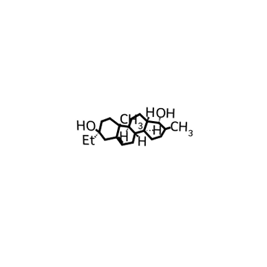 CC[C@]1(O)CC[C@@]2(C)C(=CC[C@H]3[C@@H]4CCC(C)[C@@H](O)[C@H]4CC[C@@H]32)C1